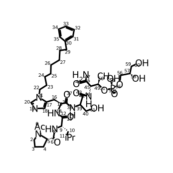 CC(=O)N1CCC[C@H]1C(=O)N[C@@H](CC(C)C)C(=O)N[C@@H](Cc1cncn1CCCCCCCCc1ccccc1)C(=O)NC(CO)C(=O)N[C@H](C(N)=O)[C@@H](C)OP(=O)(O)OC[C@@H](O)CO